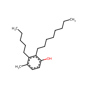 CCCCCCCCc1c(O)ccc(C)c1CCCCC